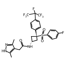 Cc1n[nH]c(C)c1CC(=O)N[C@H]1C[C@@](c2ccc(C(F)(C(F)(F)F)C(F)(F)F)cc2)(S(=O)(=O)c2ccc(F)cc2)C1